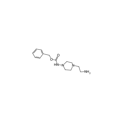 NCCN1CCN(NC(=O)OCc2ccccc2)CC1